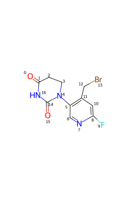 O=C1CCN(c2cnc(F)cc2CBr)C(=O)N1